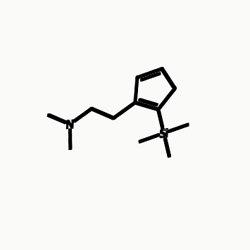 CN(C)CCC1=C([Si](C)(C)C)CC=C1